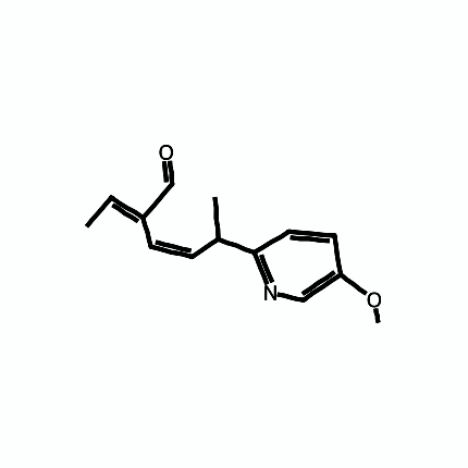 C/C=C(C=O)\C=C/C(C)c1ccc(OC)cn1